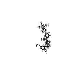 COc1ccc(Cl)cc1-c1ccc2cnc(Nc3cccc(N4CCN([C@H](I)C(C)O)CC4)c3)nn12